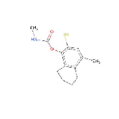 CNC(=O)Oc1c(S)cc(C)c2c1CCCC2